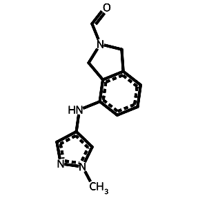 Cn1cc(Nc2cccc3c2CN(C=O)C3)cn1